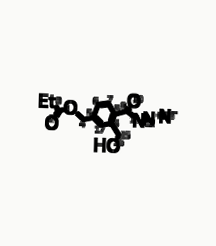 CCC(=O)OCc1ccc(C(=O)N=[N+]=[N-])c(CO)c1